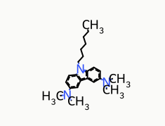 CCCCCCCn1c2ccc(N(C)C)cc2c2cc(N(C)C)ccc21